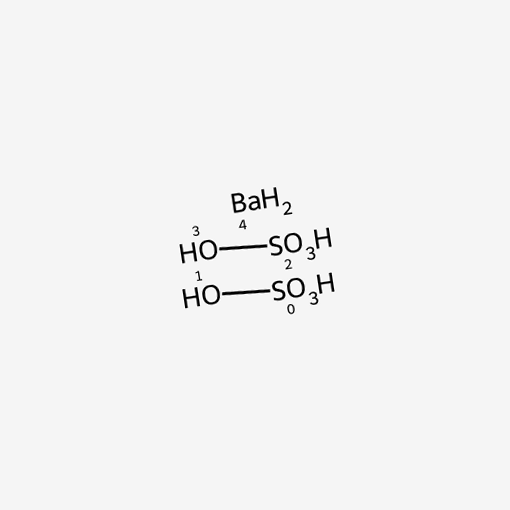 O=S(=O)(O)O.O=S(=O)(O)O.[BaH2]